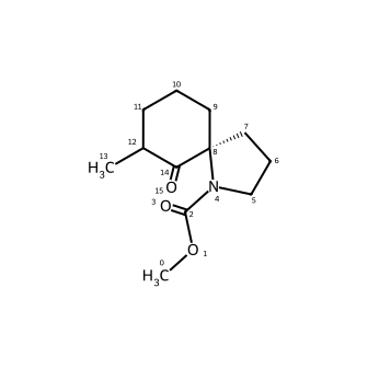 COC(=O)N1CCC[C@]12CCCC(C)C2=O